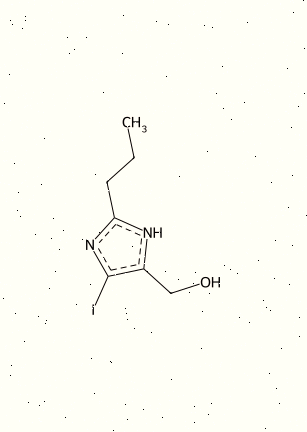 CCCc1nc(I)c(CO)[nH]1